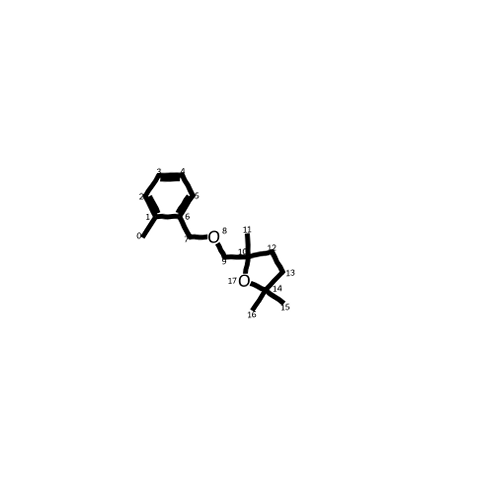 Cc1ccccc1COCC1(C)CCC(C)(C)O1